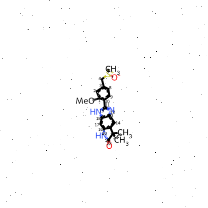 COc1cc(C[S+](C)[O-])ccc1-c1nc2cc3c(cc2[nH]1)NC(=O)C3(C)C